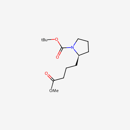 COC(=O)CCC[C@@H]1CCCN1C(=O)OC(C)(C)C